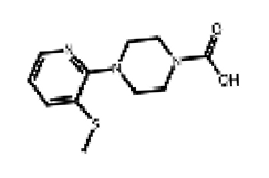 CSc1cccnc1N1CCN(C(=O)O)CC1